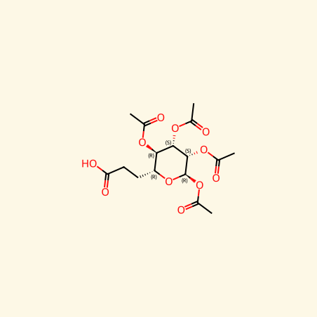 CC(=O)O[C@H]1O[C@H](CCC(=O)O)[C@@H](OC(C)=O)[C@H](OC(C)=O)[C@@H]1OC(C)=O